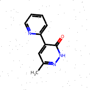 Cc1cc(-c2ccccn2)c(=O)[nH]n1